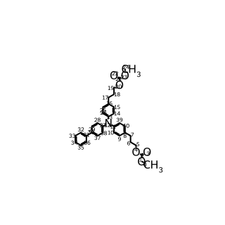 COC(=O)OCCCc1ccc(N(c2ccc(CCCOC(=O)OC)cc2)c2ccc(-c3ccccc3)cc2)cc1